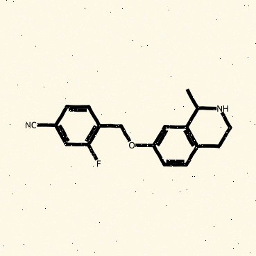 CC1NCCc2ccc(OCc3ccc(C#N)cc3F)cc21